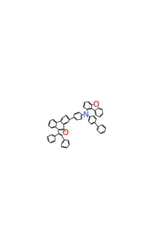 c1ccc(-c2ccc(N(c3ccc(-c4ccc5c6ccccc6c6c(-c7ccccc7)c(-c7ccccc7)oc6c5c4)cc3)c3cccc4oc5ccccc5c34)cc2)cc1